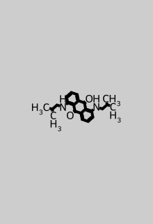 CC(C)CNc1cccc2c1C(=O)c1cccc(NCC(C)C)c1C2=O